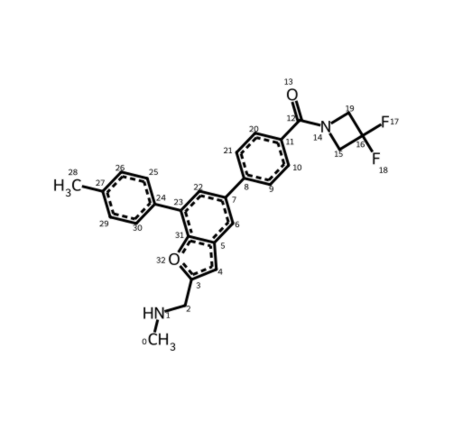 CNCc1cc2cc(-c3ccc(C(=O)N4CC(F)(F)C4)cc3)cc(-c3ccc(C)cc3)c2o1